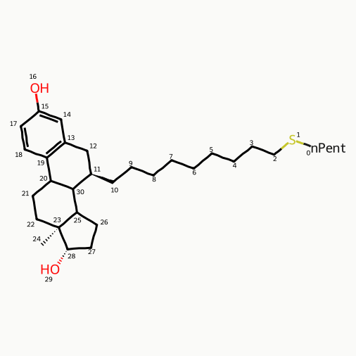 CCCCCSCCCCCCCCC[C@@H]1Cc2cc(O)ccc2C2CC[C@@]3(C)C(CC[C@@H]3O)C21